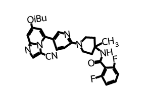 CC(C)COc1cc(-c2ccc(N3CCC(C)(NC(=O)c4c(F)cccc4F)CC3)nc2)n2c(C#N)cnc2c1